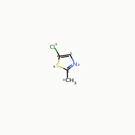 Cc1n[c]c(Cl)s1